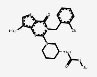 CC(C)(C)OC(=O)N[C@@H]1CCCN(c2nc3c(C(=O)O)csc3c(=O)n2Cc2ccccc2C#N)C1